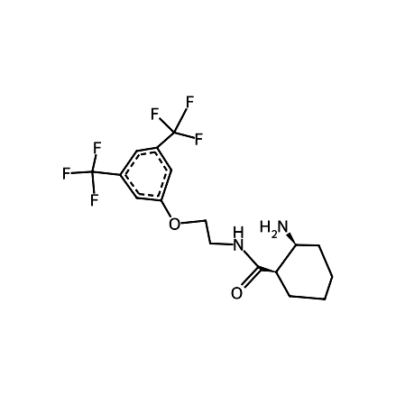 N[C@H]1CCCC[C@H]1C(=O)NCCOc1cc(C(F)(F)F)cc(C(F)(F)F)c1